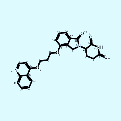 O=C1CCC(N2Cc3c(OCCCOc4ccnc5ccccc45)cccc3C2=O)C(=O)N1